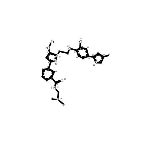 CCOc1cc(-c2cccc(C(=O)NCN(C)C)c2)nn1CCOc1ccc(-c2cc(C)cs2)cc1Cl